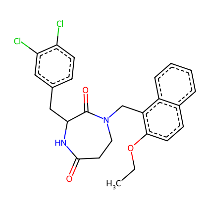 CCOc1ccc2ccccc2c1CN1CCC(=O)NC(Cc2ccc(Cl)c(Cl)c2)C1=O